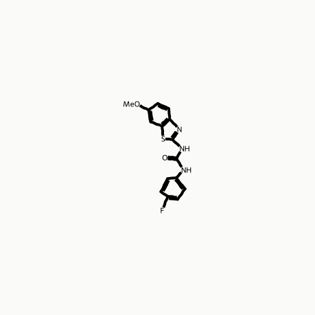 COc1ccc2nc(NC(=O)Nc3ccc(F)cc3)sc2c1